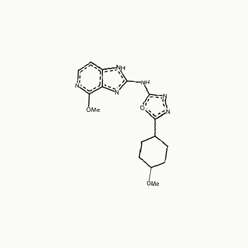 COc1nccc2[nH]c(Nc3nnc(C4CCC(OC)CC4)o3)nc12